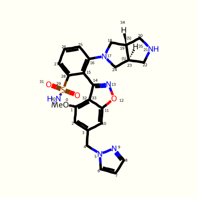 COc1cc(Cn2cccn2)cc2onc(-c3c(N4C[C@@H]5CNC[C@H]5C4)cccc3S(N)(=O)=O)c12